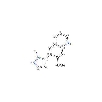 COc1cc2ncccc2cc1-c1ccnn1C